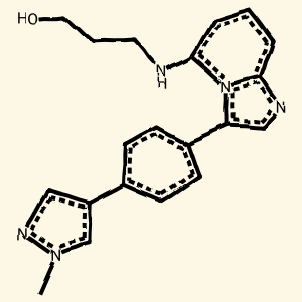 Cn1cc(-c2ccc(-c3cnc4cccc(NCCCO)n34)cc2)cn1